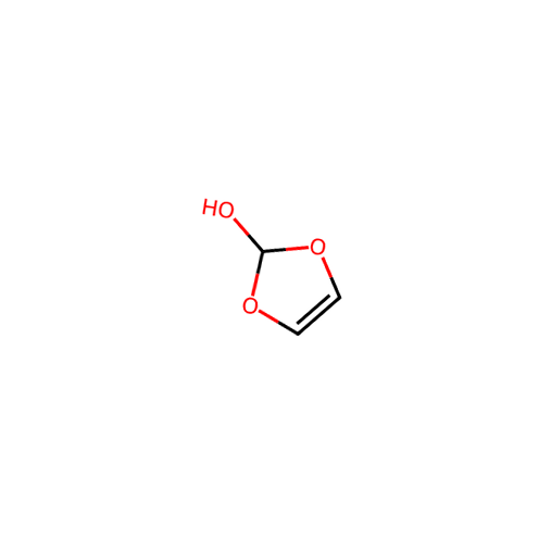 OC1OC=CO1